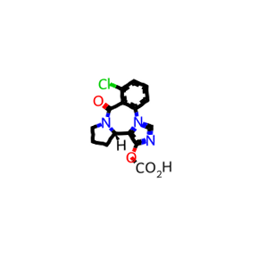 O=C(O)Oc1ncn2c1[C@@H]1CCCN1C(=O)c1c(Cl)cccc1-2